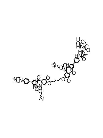 COc1cc2c(cc1OCCCCCOc1cc3c(cc1OC)C(=O)N1C=C(c4ccc(N5CCN(C)CC5)cc4)C[C@H]1C(=O)N3COCC[Si](C)(C)C)N(COCC[Si](C)(C)C)C(=O)[C@@H]1CC(c3ccc(NC(=O)[C@H](C)NC(=O)[C@@H](NC(=O)O)C(C)C)cc3)=CN1C2=O